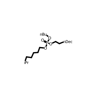 CCCCCCCCCCCCOP(=O)(OCCCC)OCCCCCC(C)C